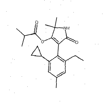 CCc1cc(C)cc(C2CC2)c1C1=C(OC(=O)C(C)C)C(C)(C)NC1=O